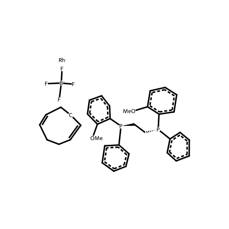 C1=C\CC/C=C\CC/1.COc1ccccc1[P@@](CC[P@@](c1ccccc1)c1ccccc1OC)c1ccccc1.F[B-](F)(F)F.[Rh]